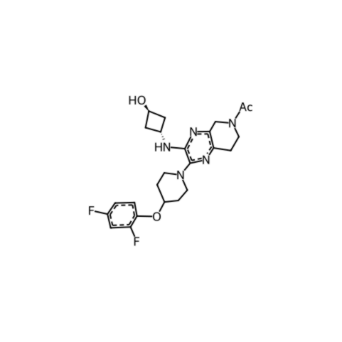 CC(=O)N1CCc2nc(N3CCC(Oc4ccc(F)cc4F)CC3)c(N[C@H]3C[C@H](O)C3)nc2C1